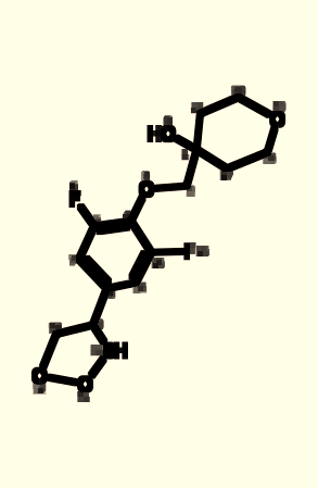 OC1(COc2c(F)cc(C3BOOC3)cc2F)CCOCC1